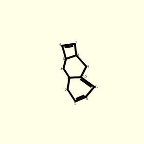 C1=CCC2CC3C=CC3CC2=C1